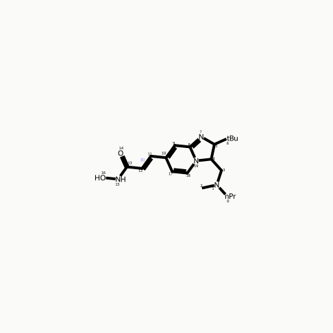 CCCN(C)CC1C(C(C)(C)C)N=C2C=C(/C=C/C(=O)NO)C=CN21